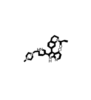 C=CC(=O)N1CCCc2ccc(-c3c(C4=CNC(CN5CCN(C)CC5)C=C4)[nH]c4nccc(Cl)c34)cc21